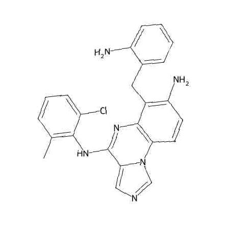 Cc1cccc(Cl)c1Nc1nc2c(Cc3ccccc3N)c(N)ccc2n2cncc12